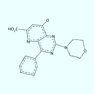 O=C(O)c1cc(Cl)c2nc(N3CCOCC3)nc(-c3ccccc3)c2n1